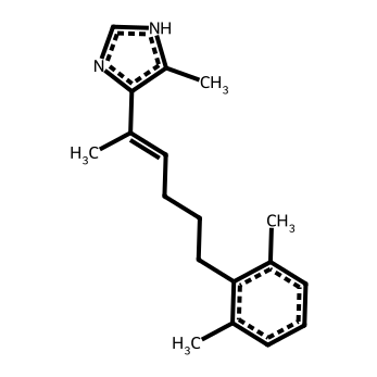 C/C(=C\CCCc1c(C)cccc1C)c1nc[nH]c1C